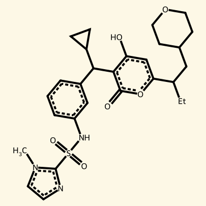 CCC(CC1CCOCC1)c1cc(O)c(C(c2cccc(NS(=O)(=O)c3nccn3C)c2)C2CC2)c(=O)o1